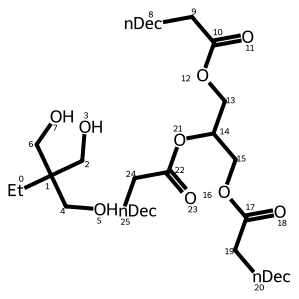 CCC(CO)(CO)CO.CCCCCCCCCCCC(=O)OCC(COC(=O)CCCCCCCCCCC)OC(=O)CCCCCCCCCCC